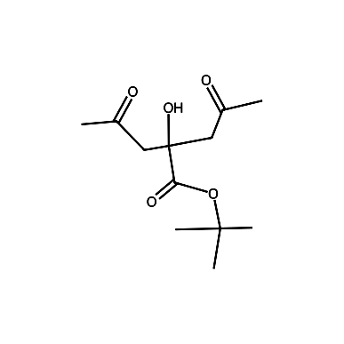 CC(=O)CC(O)(CC(C)=O)C(=O)OC(C)(C)C